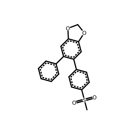 CS(=O)(=O)c1ccc(-c2cc3c(cc2-c2ccccc2)OCO3)cc1